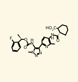 Cc1nc(-c2nnn(C)c2NC(=O)O[C@H](C)c2ccccc2F)ccc1NC(=O)[C@H]1CCCC[C@@H]1C(=O)O